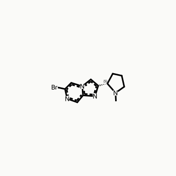 CN1CCC[C@H]1c1cn2cc(Br)ncc2n1